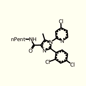 CCCCCNC(=O)c1nc(-c2ccc(Cl)cc2Cl)n(-c2cc(Cl)ccn2)c1C